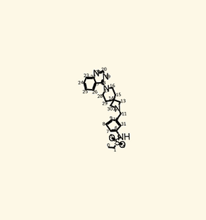 CCS(=O)(=O)Nc1cccc(CN2CC3(CCN(c4ncnc5ccccc45)CC3)C2)c1